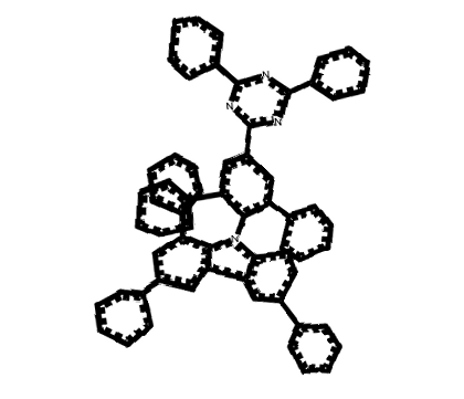 c1ccc(-c2ccc3c(c2)c2cc(-c4ccccc4)cc(-c4ccccc4)c2n3-c2c(-c3ccccc3)cc(-c3nc(-c4ccccc4)nc(-c4ccccc4)n3)cc2-c2ccccc2)cc1